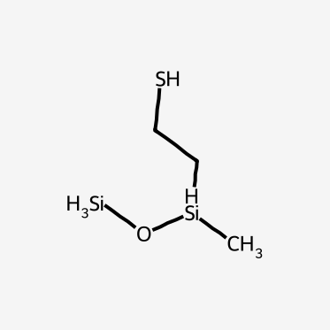 C[SiH](CCS)O[SiH3]